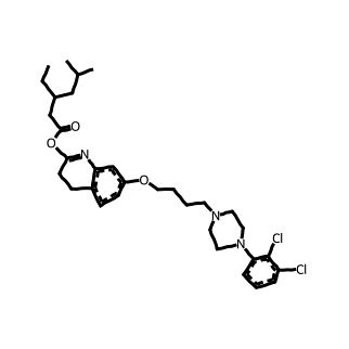 CCC(CC(=O)OC1=Nc2cc(OCCCCN3CCN(c4cccc(Cl)c4Cl)CC3)ccc2CC1)CC(C)C